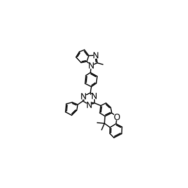 Cc1nc2ccccc2n1-c1ccc(-c2nc(-c3ccccc3)nc(-c3ccc4c(c3)C(C)(C)c3ccccc3O4)n2)cc1